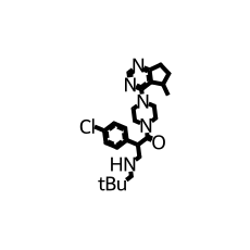 CC1CCc2ncnc(N3CCN(C(=O)C(CNCC(C)(C)C)c4ccc(Cl)cc4)CC3)c21